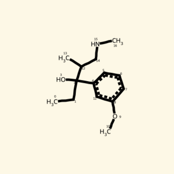 CCC(O)(c1cccc(OC)c1)C(C)CNC